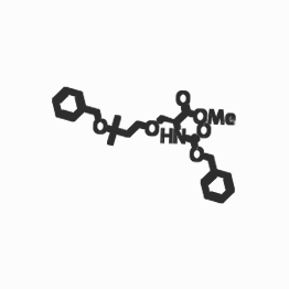 COC(=O)[C@H](COCCC(C)(C)OCc1ccccc1)NC(=O)OCc1ccccc1